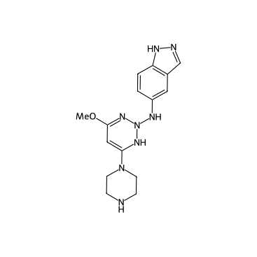 COC1=NN(Nc2ccc3[nH]ncc3c2)NC(N2CCNCC2)=C1